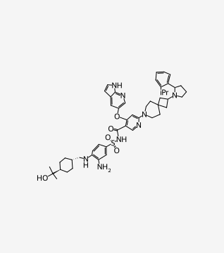 CC(C)c1ccccc1C1CCCN1C1CC2(CCN(c3cc(Oc4cnc5[nH]ccc5c4)c(C(=O)NS(=O)(=O)c4ccc(NC[C@H]5CC[C@H](C(C)(C)O)CC5)c(N)c4)cn3)CC2)C1